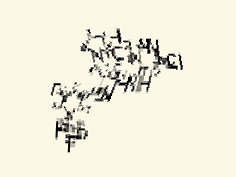 C[C@@H]1CCCN1Cc1sc(Nc2cc(Cl)ncn2)nc1-c1cc(F)cc(C(F)(F)F)c1